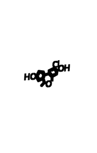 CC1OCc2cc(O)c(Cl)cc2-c2ccc(O)cc21